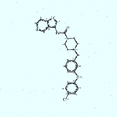 O=C(Nc1noc2ccncc12)N1CCN(Cc2cccc(Oc3ccc(Cl)cc3)c2)CC1